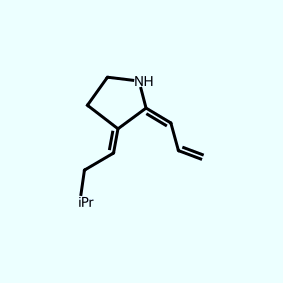 C=C/C=C1/NCC/C1=C\CC(C)C